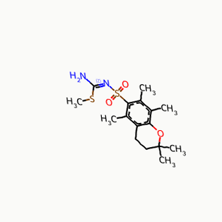 CS/C(N)=N\S(=O)(=O)c1c(C)c(C)c2c(c1C)CCC(C)(C)O2